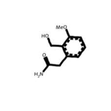 COc1cccc(CC(N)=O)c1CO